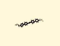 CCCOc1ccc(-c2ccc(C#Cc3ccc([C@H]4CC[C@H](C)CC4)cc3)cc2)cc1